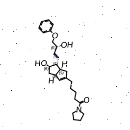 O=C(CCCCC1=C[C@H]2C[C@@H](O)[C@H](/C=C/[C@@H](O)COc3ccccc3)[C@H]2C1)N1CCCC1